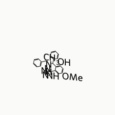 COc1cc(O)c(C(NC(C)c2ccccc2)c2ccccc2)c(-c2nnn[nH]2)c1